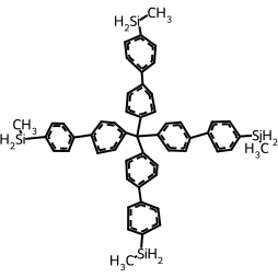 C[SiH2]c1ccc(-c2ccc(C(c3ccc(-c4ccc([SiH2]C)cc4)cc3)(c3ccc(-c4ccc([SiH2]C)cc4)cc3)c3ccc(-c4ccc([SiH2]C)cc4)cc3)cc2)cc1